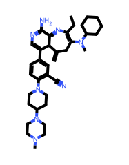 C=C1CC(N(C)C2CCCCC2)=C(CC)N=C2C(N)=NC=C(c3ccc(N4CCC(N5CCN(C)CC5)CC4)c(C#N)c3)C12